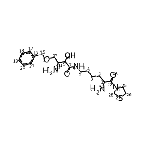 NC(CCCCNC(=O)C(O)C(N)COCc1ccccc1)C(=O)N1CCSC1